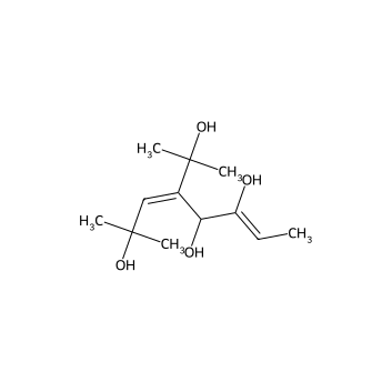 CC=C(O)C(O)C(=CC(C)(C)O)C(C)(C)O